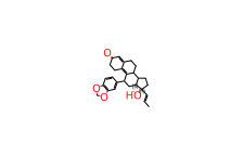 CC=C[C@]1(O)CCC2C3CCC4=CC(=O)CCC4=C3C(c3ccc4c(c3)OCO4)C[C@@]21C